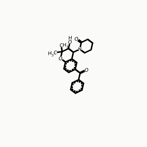 CC1(C)Oc2ccc(C(=O)c3ccccc3)cc2C(N2CCCCC2=O)C1O